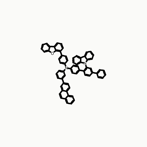 c1ccc(-c2ccc(-c3ccc(N(c4ccc(-c5cccc6c5oc5ccccc56)cc4)c4cccc(-c5ccc6c(ccc7ccccc76)c5)c4)cc3)c(-n3c4ccccc4c4ccccc43)c2)cc1